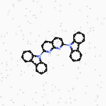 c1ccc2c(c1)c1ccccc1n2-c1ccc2ccc(-n3c4ccccc4c4ccccc43)nc2n1